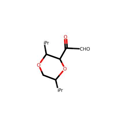 CC(C)C1COC(C(C)C)C(C(=O)C=O)O1